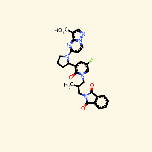 CC(CN1C(=O)c2ccccc2C1=O)Cn1cc(F)cc(C2CCCN2c2ccn3ncc(C(=O)O)c3n2)c1=O